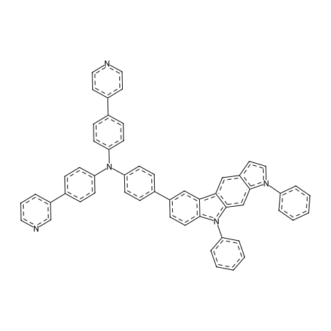 c1ccc(-n2ccc3cc4c5cc(-c6ccc(N(c7ccc(-c8ccncc8)cc7)c7ccc(-c8cccnc8)cc7)cc6)ccc5n(-c5ccccc5)c4cc32)cc1